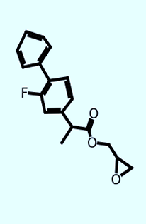 CC(C(=O)OCC1CO1)c1ccc(-c2ccccc2)c(F)c1